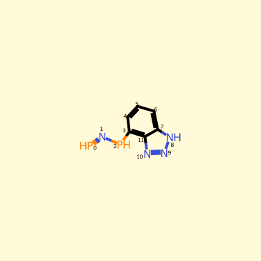 P=NPc1cccc2[nH]nnc12